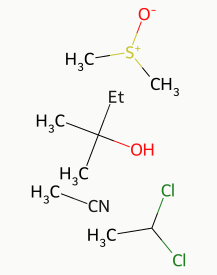 CC#N.CC(Cl)Cl.CCC(C)(C)O.C[S+](C)[O-]